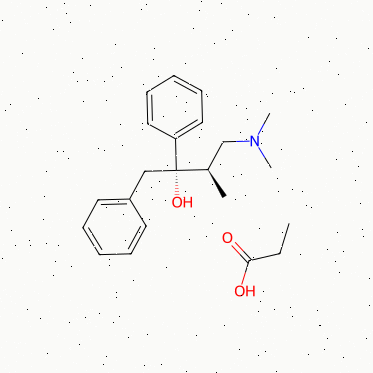 CCC(=O)O.C[C@H](CN(C)C)[C@@](O)(Cc1ccccc1)c1ccccc1